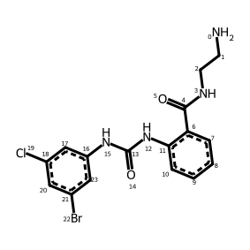 NCCNC(=O)c1ccccc1NC(=O)Nc1cc(Cl)cc(Br)c1